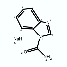 NC(=O)n1cnc2ccccc21.[NaH]